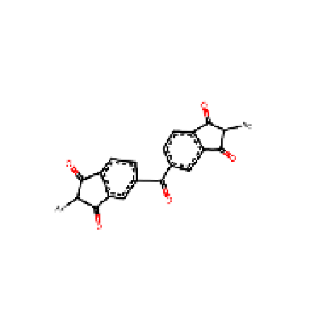 CC(=O)C1C(=O)c2ccc(C(=O)c3ccc4c(c3)C(=O)C(C(C)=O)C4=O)cc2C1=O